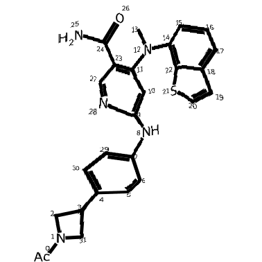 CC(=O)N1CC(c2ccc(Nc3cc(N(C)c4cccc5ccsc45)c(C(N)=O)cn3)cc2)C1